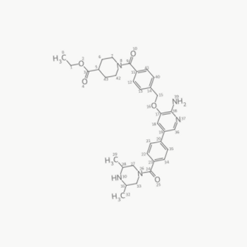 CCOC(=O)C1CCN(C(=O)c2ccc(COc3cc(-c4ccc(C(=O)N5CC(C)NC(C)C5)cc4)cnc3N)cc2)CC1